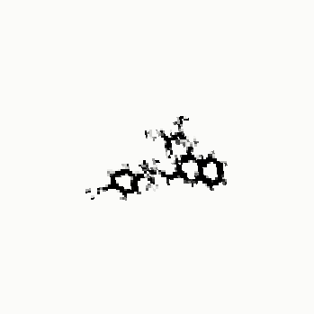 CC(C)[C@H](Nc1nc(CNS(=O)(=O)c2ccc(C(F)(F)F)cc2)nc2ccccc12)C(N)=O